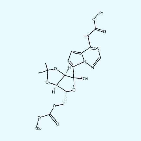 CC(C)OC(=O)Nc1ncnn2c([C@]3(C#N)O[C@H](COC(=O)OC(C)(C)C)[C@H]4OC(C)(C)O[C@H]43)ccc12